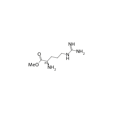 COC(=O)[C@H](N)CCCNC(=N)N